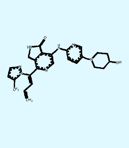 C=C/C=C(/c1ncc(Nc2ccc(N3CCC(O)CC3)cn2)c2c1CNC2=O)n1nccc1C